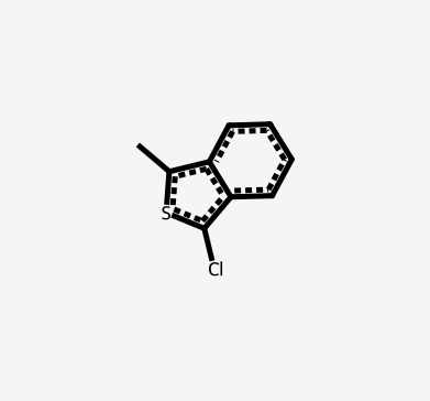 Cc1sc(Cl)c2ccccc12